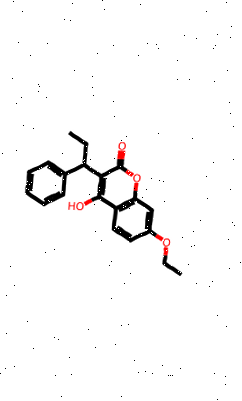 CCOc1ccc2c(O)c(C(CC)c3ccccc3)c(=O)oc2c1